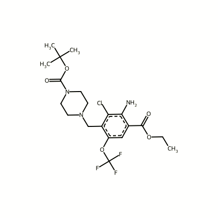 CCOC(=O)c1cc(OC(F)(F)F)c(CN2CCN(C(=O)OC(C)(C)C)CC2)c(Cl)c1N